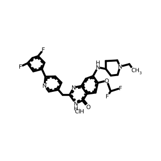 CCN1CCC(Nc2cc3nc(Cc4ccc(-c5cc(F)cc(F)c5)nc4)[nH]c(=O)c3cc2OC(F)F)CC1.Cl